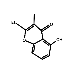 CCc1oc2cccc(O)c2c(=O)c1C